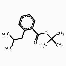 CC(C)Cc1ccccc1C(=O)OC(C)(C)C